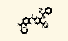 O=c1c2ccc(Nc3ncc(-c4nnco4)c(N[C@H](CO)c4ccccc4)n3)c(F)c2n2n1CC=CC2